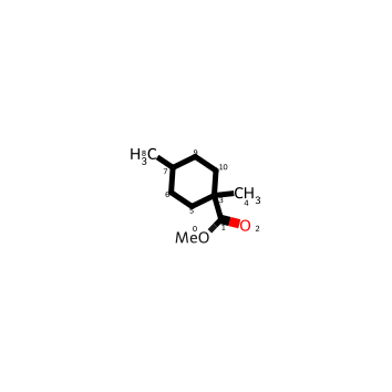 COC(=O)C1(C)CCC(C)CC1